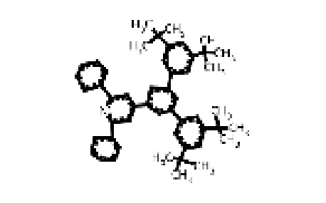 CC(C)(C)c1cc(-c2cc(-c3cc(C(C)(C)C)cc(C(C)(C)C)c3)cc(-c3cc(-c4ccccc4)nc(-c4ccccc4)c3)c2)cc(C(C)(C)C)c1